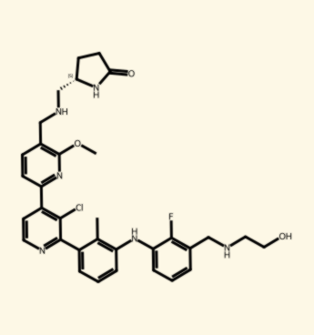 COc1nc(-c2ccnc(-c3cccc(Nc4cccc(CNCCO)c4F)c3C)c2Cl)ccc1CNC[C@@H]1CCC(=O)N1